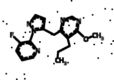 CCCc1c(Cc2ccnn2-c2ncccc2F)ncnc1OC